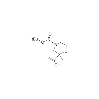 C=C(O)C1(C)CN(C(=O)OC(C)(C)C)CCO1